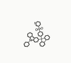 O=S(=O)(c1ccc(C2(c3ccc4c(c3)c3ccccc3n4-c3ccccc3)c3ccccc3-c3ccccc32)cc1)c1cccnc1